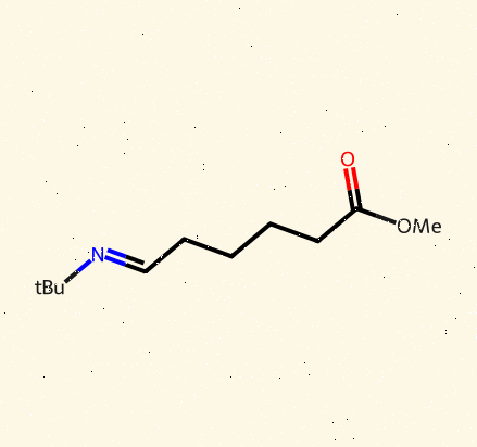 COC(=O)CCCC/C=N/C(C)(C)C